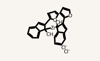 C[C]1([Zr+2][C]2(C)C(c3ccco3)=Cc3ccccc32)C(c2ccco2)=Cc2ccccc21.[Cl-].[Cl-]